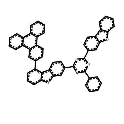 c1ccc(-c2nc(-c3ccc4c(c3)oc3ccccc34)nc(-c3ccc4c(c3)sc3cccc(-c5ccc6c7ccccc7c7ccccc7c6c5)c34)n2)cc1